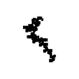 CC/C=C(/C)SCCNC(=O)CCNC(=O)C(O)C(C)(C)COP(=O)(O)OP(=O)(O)OC[C@H]1O[C@@H](n2cnc3c(N)ncnc32)[C@H](O)[C@@H]1OP(=O)(O)O